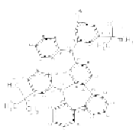 CC(C)(C)c1cc(Br)cc(N(c2ccccc2)c2ccc3c(c2)N(c2cc(C(C)(C)C)ccn2)c2ccccc2-c2ccccc2-3)c1